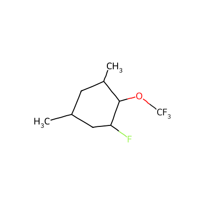 CC1CC(C)C(OC(F)(F)F)C(F)C1